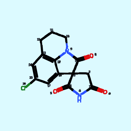 O=C1CC2(C(=O)N1)C(=O)N1CCCc3cc(Cl)cc2c31